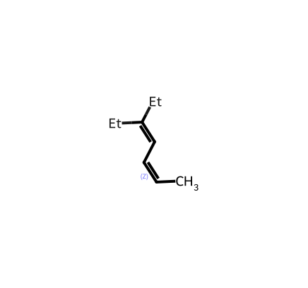 C/C=C\C=C(CC)CC